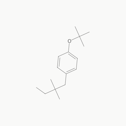 CCC(C)(C)Cc1ccc(OC(C)(C)C)cc1